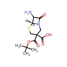 CC(C)(C)OC(=O)C1(C(=O)O)CS[C@@H]2C(N)C(=O)N2C1